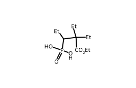 CCOC(=O)C(CC)(CC)C(CC)P(=O)(O)O